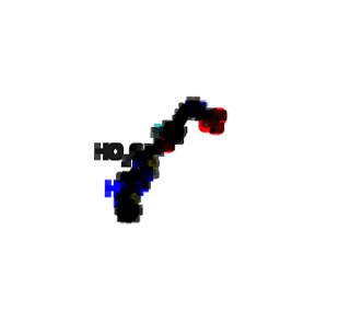 Cc1cc(N(C)c2nc(C(=O)O)c(CCCOc3ccc(C#CC[N+](C)(C)CCCS(=O)(=O)[O-])cc3F)s2)nnc1Nc1nc2ccccc2s1